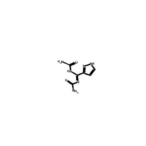 NC(=O)N=C(NC(N)=O)c1cc[nH]n1